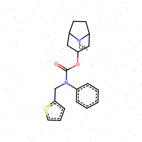 CN1C2CCC1CC(OC(=O)N(Cc1cccs1)c1ccccc1)C2